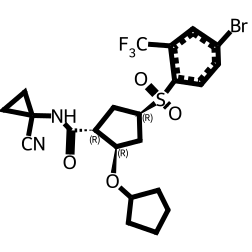 N#CC1(NC(=O)[C@@H]2C[C@@H](S(=O)(=O)c3ccc(Br)cc3C(F)(F)F)C[C@H]2OC2CCCC2)CC1